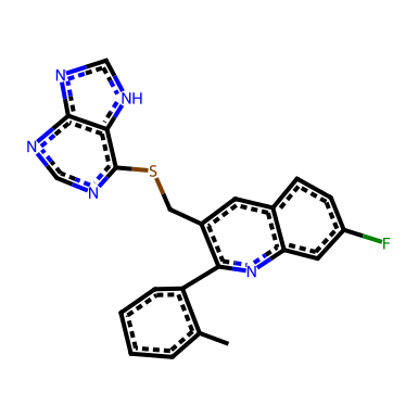 Cc1ccccc1-c1nc2cc(F)ccc2cc1CSc1ncnc2nc[nH]c12